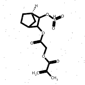 C=C(C)C(=O)OCC(=O)OC1C2CC[C@H](C2)C1O[SH](=O)=O